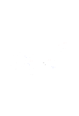 COC(=O)N[C@H](C(=O)Nc1ccccc1CCC[C@@H]1CNC[C@@H](CSc2cccc(S(C)(=O)=O)c2)O1)C(c1ccccc1)c1ccccc1